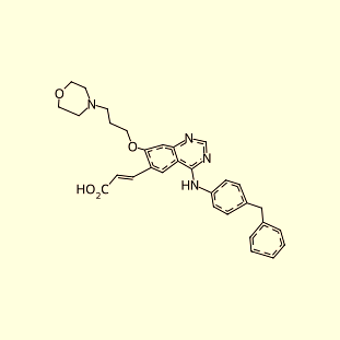 O=C(O)C=Cc1cc2c(Nc3ccc(Cc4ccccc4)cc3)ncnc2cc1OCCCN1CCOCC1